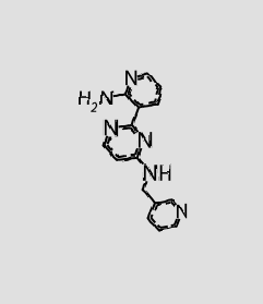 Nc1ncccc1-c1nccc(NCc2cccnc2)n1